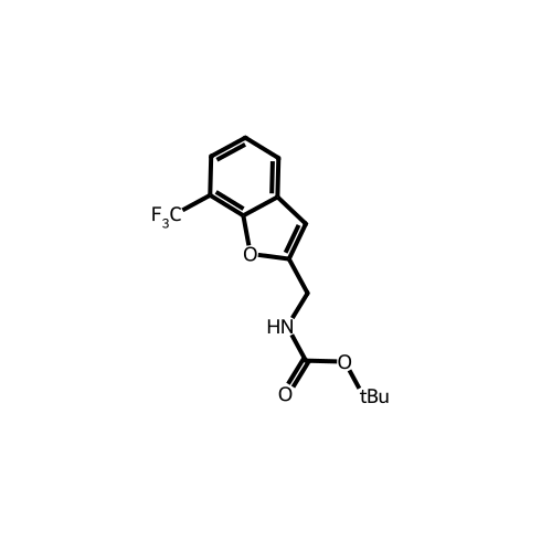 CC(C)(C)OC(=O)NCc1cc2cccc(C(F)(F)F)c2o1